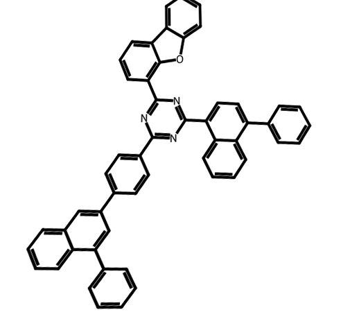 c1ccc(-c2cc(-c3ccc(-c4nc(-c5ccc(-c6ccccc6)c6ccccc56)nc(-c5cccc6c5oc5ccccc56)n4)cc3)cc3ccccc23)cc1